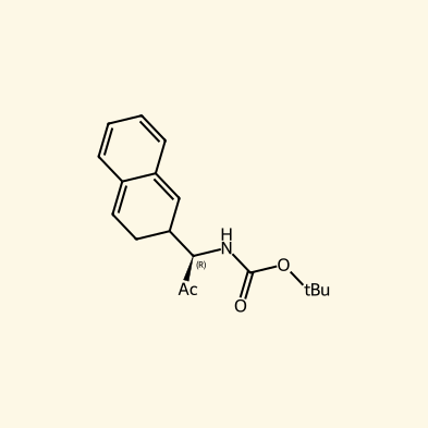 CC(=O)[C@H](NC(=O)OC(C)(C)C)C1C=c2ccccc2=CC1